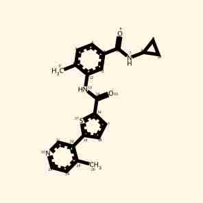 Cc1ccc(C(=O)NC2CC2)cc1NC(=O)c1ccc(-c2cnccc2C)s1